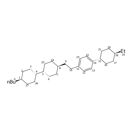 CCCC[C@H]1CC[C@H]([C@H]2CC[C@H](CCc3ccc([C@H]4CC[C@H](CC)CC4)cc3)CC2)CC1